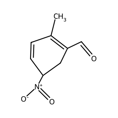 CC1=C(C=O)CC([N+](=O)[O-])C=C1